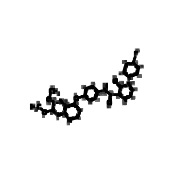 COc1cc2nccc(Oc3ccc(NC(=O)c4nccn(-c5ccc(F)cc5)c4=O)cc3)c2nc1OC